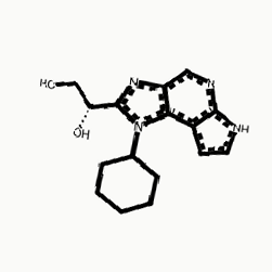 OC[C@@H](O)c1nc2cnc3[nH]ccc3c2n1C1CCCCC1